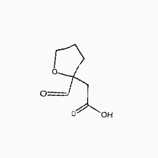 O=CC1(CC(=O)O)CCCO1